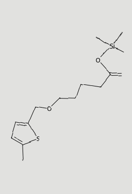 C=C(CCCCOCc1ccc(C)s1)O[Si](C)(C)C